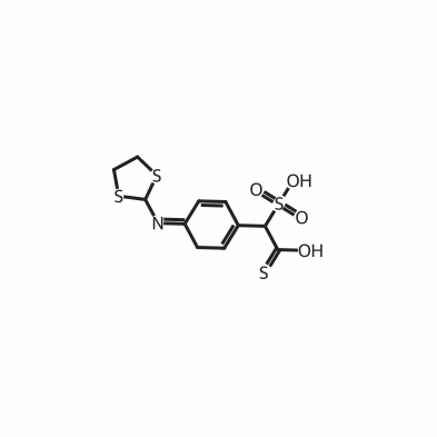 O=S(=O)(O)C(C(O)=S)C1=CCC(=NC2SCCS2)C=C1